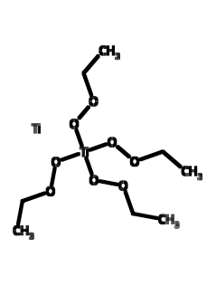 CCO[O][Ti]([O]OCC)([O]OCC)[O]OCC.[Ti]